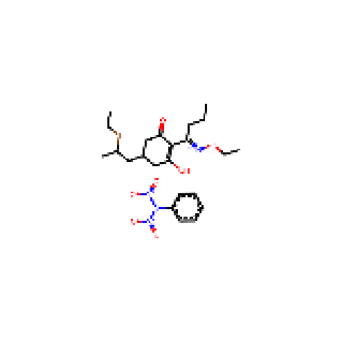 CCC/C(=N\OCC)C1=C(O)CC(CC(C)SCC)CC1=O.O=[N+]([O-])N(c1ccccc1)[N+](=O)[O-]